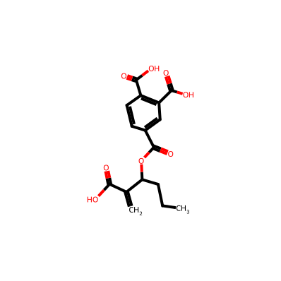 C=C(C(=O)O)C(CCC)OC(=O)c1ccc(C(=O)O)c(C(=O)O)c1